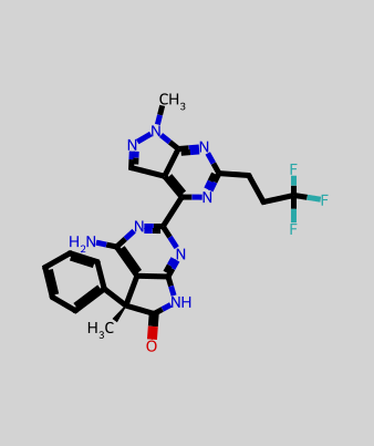 Cn1ncc2c(-c3nc(N)c4c(n3)NC(=O)[C@]4(C)c3ccccc3)nc(CCC(F)(F)F)nc21